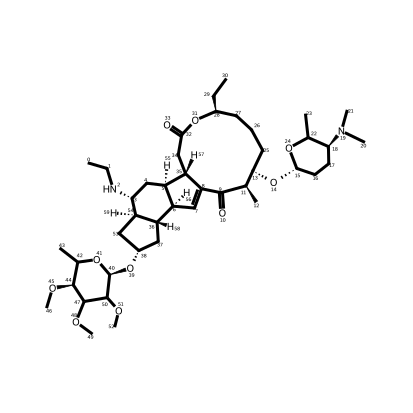 CCN[C@@H]1C[C@@H]2[C@@H](C=C3C(=O)[C@H](C)[C@@H](O[C@H]4CC[C@H](N(C)C)C(C)O4)CCC[C@H](CC)OC(=O)C[C@H]32)[C@@H]2C[C@H](O[C@@H]3OC(C)[C@H](OC)C(OC)C3OC)C[C@H]21